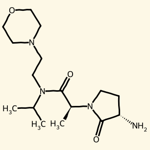 CC(C)N(CCN1CCOCC1)C(=O)[C@H](C)N1CC[C@H](N)C1=O